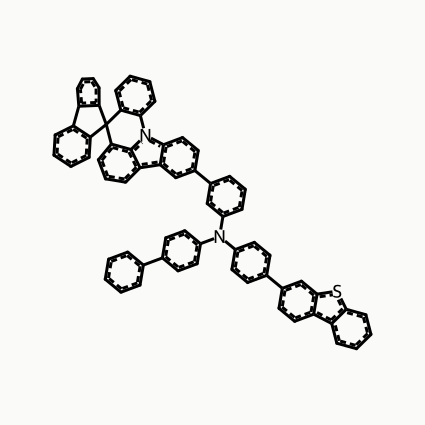 c1ccc(-c2ccc(N(c3ccc(-c4ccc5c(c4)sc4ccccc45)cc3)c3cccc(-c4ccc5c(c4)c4cccc6c4n5-c4ccccc4C64c5ccccc5-c5ccccc54)c3)cc2)cc1